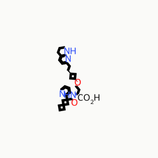 O=C(O)C(CCO[C@H]1C[C@H](CCc2ccc3c(n2)NCCC3)C1)NC(=O)C1(c2ccccn2)CC2(CCC2)C1